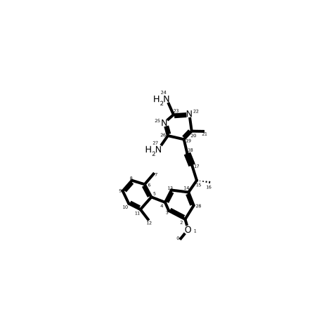 COc1cc(-c2c(C)cccc2C)cc([C@@H](C)C#Cc2c(C)nc(N)nc2N)c1